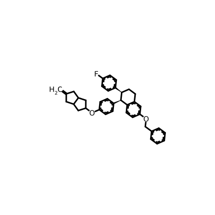 C=C1CC2CC(Oc3ccc([C@@H]4c5ccc(OCc6ccccc6)cc5CC[C@@H]4c4ccc(F)cc4)cc3)CC2C1